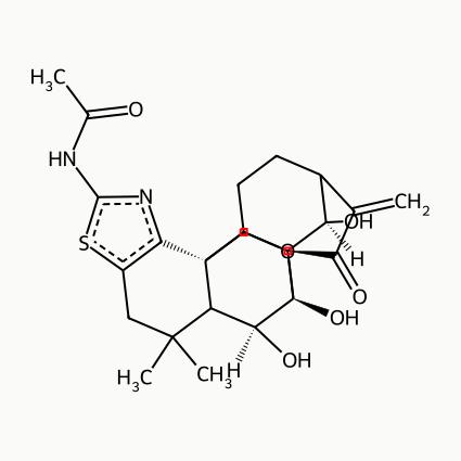 C=C1C(=O)[C@@]23C(CCC1[C@H]2O)[C@@]12CO[C@]3(O)[C@@H](O)C1C(C)(C)Cc1sc(NC(C)=O)nc12